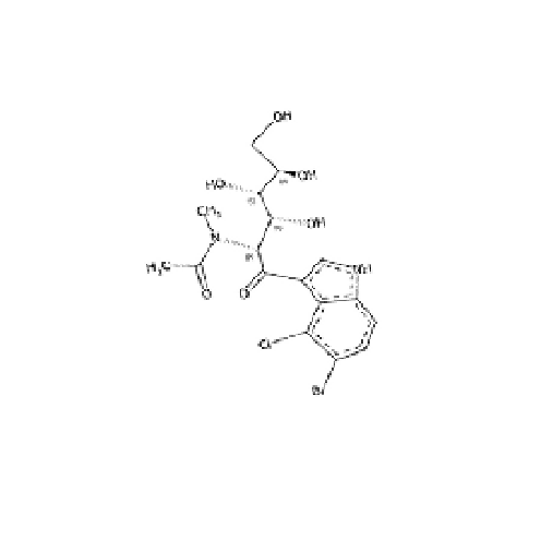 CC(=O)N(C)[C@@H](C(=O)c1c[nH]c2ccc(Br)c(Cl)c12)[C@@H](O)[C@H](O)[C@H](O)CO